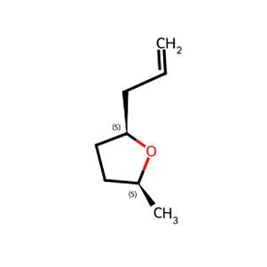 C=CC[C@@H]1CC[C@H](C)O1